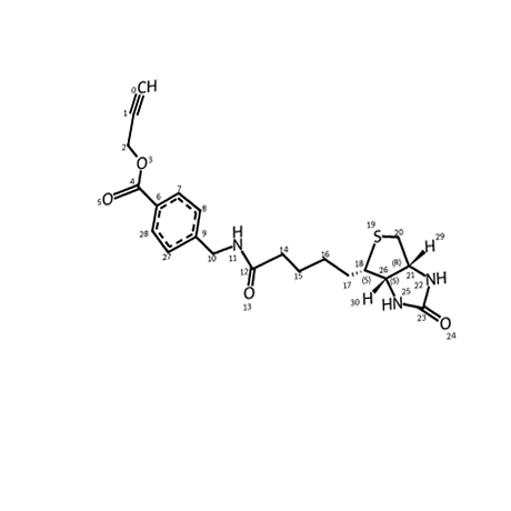 C#CCOC(=O)c1ccc(CNC(=O)CCCC[C@@H]2SC[C@@H]3NC(=O)N[C@@H]32)cc1